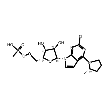 C[C@H]1CCCN1c1nc(Cl)nc2c1ccn2[C@@H]1O[C@H](COOP(C)(=O)O)[C@@H](O)[C@H]1O